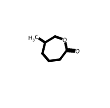 CC1CCCC(=O)OC1